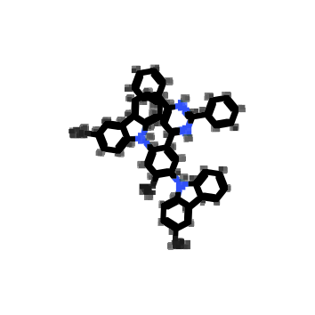 CC(C)(C)c1ccc2c(c1)c1ccccc1n2-c1cc(-c2cc(-c3ccccc3)nc(-c3ccccc3)n2)c(-n2c3ccccc3c3cc(C(C)(C)C)ccc32)cc1C#N